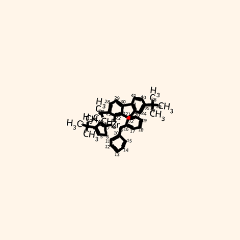 CC(C)(C)C1=CC[C]([Zr](=[C](c2ccccc2)c2ccccc2)[c]2c(C(C)(C)C)ccc3c2Cc2cc(C(C)(C)C)ccc2-3)=C1